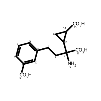 NC(CCc1cccc(C(=O)O)c1)(C(=O)O)C1CC1C(=O)O